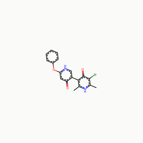 Cc1[nH]c(C)c(-c2c[nH]c(Oc3ccccc3)cc2=O)c(=O)c1Br